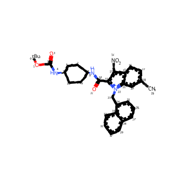 CC(C)(C)OC(=O)N[C@H]1CC[C@H](NC(=O)c2c([N+](=O)[O-])c3ccc(C#N)cc3n2Cc2cccc3ccccc23)CC1